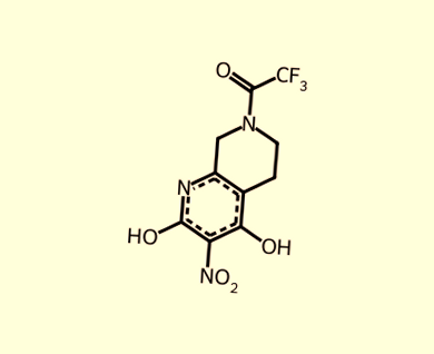 O=C(N1CCc2c(nc(O)c([N+](=O)[O-])c2O)C1)C(F)(F)F